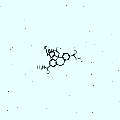 CC(C)c1nnc(C2(C[C@H](C)N)c3ccc(C(N)=O)cc3CCc3cc(C(N)=O)ccc32)[nH]1